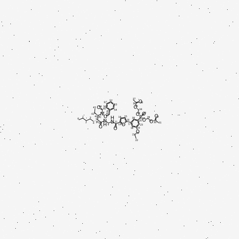 CCCCC[C@@H](C(=O)NCNC(=O)c1ccc(-c2cc(OCC)cc(P(=O)(OCOC(C)=O)OCOC(C)=O)c2)o1)[C@@H](CC)N(C=O)OCc1ccccc1